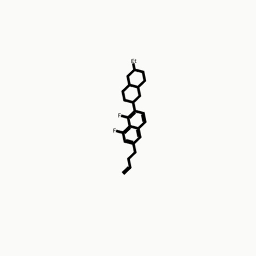 C=CCCc1cc(F)c2c(F)c(C3CCC4CC(CC)CCC4C3)ccc2c1